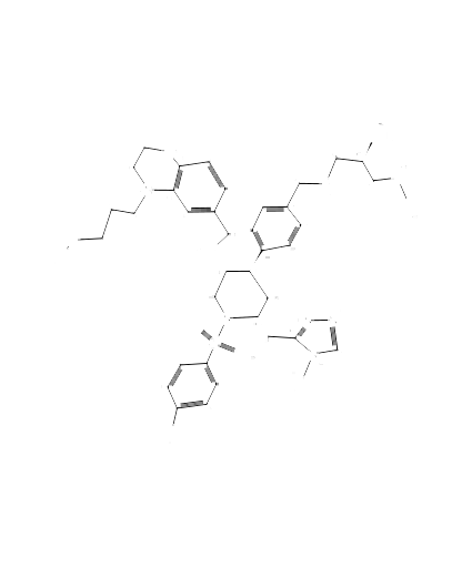 COCCCN1CCOc2ccc(CO[C@H]3CN(S(=O)(=O)c4ccc(C)cc4)[C@@H](Cc4nncn4C)C[C@@H]3c3ccc(COC[C@@H](C)COC)cc3)cc21